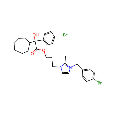 Cc1n(CCCOC(=O)C(O)(c2ccccc2)C2CCCCCC2)cc[n+]1Cc1ccc(Br)cc1.[Br-]